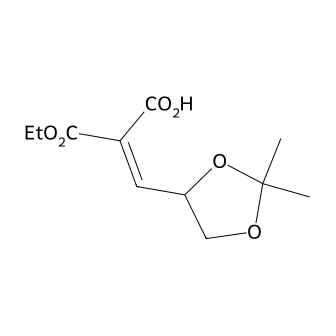 CCOC(=O)C(=CC1COC(C)(C)O1)C(=O)O